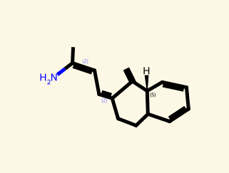 C=C1/C(=C\C=C(\C)N)CCC2C=CC=C[C@@H]12